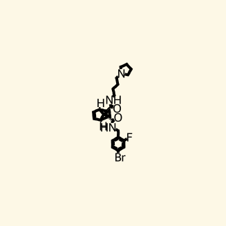 O=C(NCCCCN1CCCC1)[C@H]1[C@H](C(=O)NCc2ccc(Br)cc2F)[C@@H]2C=C[C@H]1C21CC1